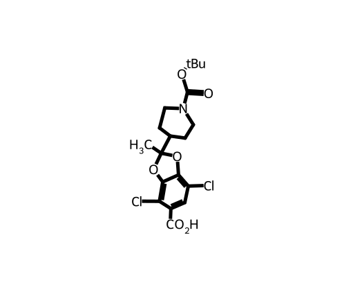 CC(C)(C)OC(=O)N1CCC(C2(C)Oc3c(Cl)cc(C(=O)O)c(Cl)c3O2)CC1